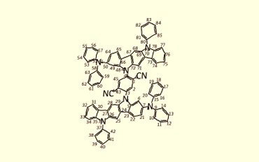 N#Cc1cc(-n2c3cc(N(c4ccccc4)c4ccccc4)ccc3c3cc4c(cc32)c2ccccc2n4-c2ccccc2)c(C#N)cc1-n1c2cc(N(c3ccccc3)c3ccccc3)ccc2c2cc3c(cc21)c1ccccc1n3-c1ccccc1